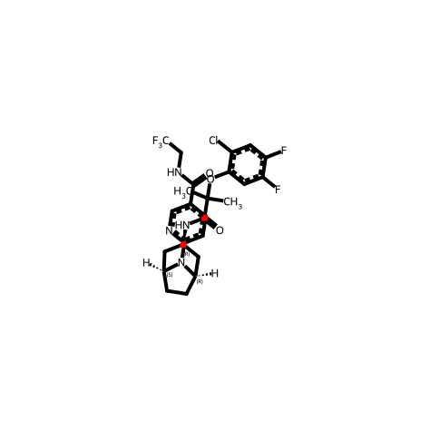 CC(C)(Oc1cc(F)c(F)cc1Cl)C(=O)N[C@H]1C[C@H]2CC[C@@H](C1)N2c1ccc(C(=O)NCC(F)(F)F)cn1